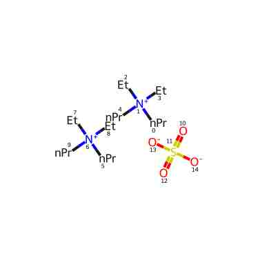 CCC[N+](CC)(CC)CCC.CCC[N+](CC)(CC)CCC.O=S(=O)([O-])[O-]